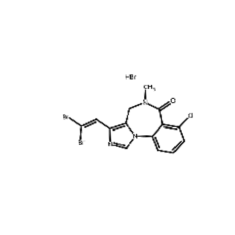 Br.CN1Cc2c(C=C(Br)Br)ncn2-c2cccc(Cl)c2C1=O